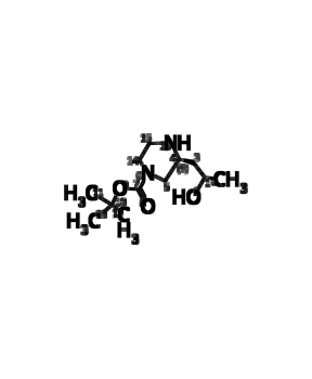 CC(O)C[C@H]1CN(C(=O)OC(C)(C)C)CCN1